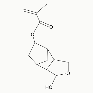 C=C(C)C(=O)OC1CC2CC1C1COC(O)C21